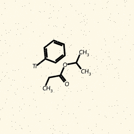 CCC(=O)OC(C)C.[Ti][c]1ccccc1